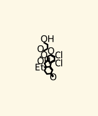 CCC12CCC(=O)C=C1c1c(cc(OC(CCO)C(=O)OCO)c(Cl)c1Cl)C2